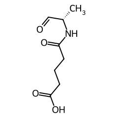 C[C@@H](C=O)NC(=O)CCCC(=O)O